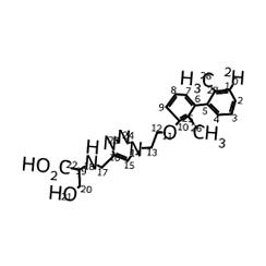 [2H]c1cccc(-c2cccc(OCCn3cc(CNC(CO)C(=O)O)nn3)c2C)c1C